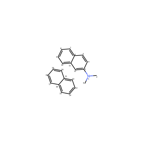 CN(C)c1ccc2ccccc2c1.[c]1ccc2ccccc2c1